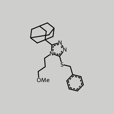 COCCCn1c(SCc2ccccc2)nnc1C12CC3CC(CC(C3)C1)C2